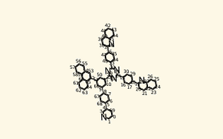 c1cncc(-c2ccc(-c3cc(-c4nc(-c5ccc(-c6ccc7ccccc7n6)cc5)nc(-c5ccc(-c6ccc7ccccc7n6)cc5)n4)cc(-c4cc5ccccc5c5ccccc45)c3)cc2)c1